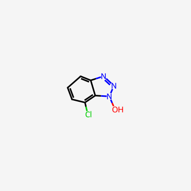 On1nnc2cccc(Cl)c21